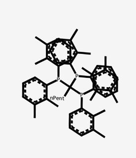 CCCCCC(P(c1cccc(C)c1C)c1cccc(C)c1C)(P(c1cccc(C)c1C)c1cccc(C)c1C)P(c1cccc(C)c1C)c1cccc(C)c1C